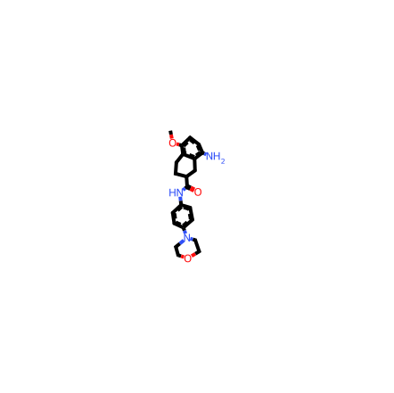 COc1ccc(N)c2c1CCC(C(=O)Nc1ccc(N3CCOCC3)cc1)C2